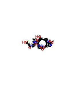 CCn1c(-c2cccnc2[C@H](C)OC)c2c3cc(ccc31)-c1cc(O)cc(c1)C[C@H](NC(=O)[C@H](C(C)C)N(C)C(=O)C1CCN(C(=O)C#CC(O)(F)F)C1)C(=O)N1CCC[C@H](N1)C(=O)OCC(C)(C)C2